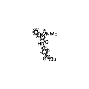 CNC(=O)c1cc(C(=O)NCCC2CCN(C(=O)OC(C)(C)C)CC2(F)F)cc(Cc2ccccc2)n1